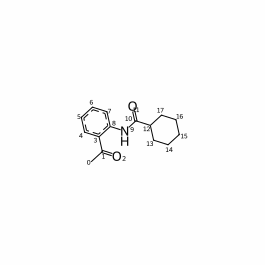 CC(=O)c1ccccc1NC(=O)C1CCCCC1